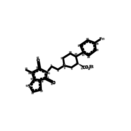 CCOC(=O)[C@@H]1CN(CCn2c(=O)c3ccsc3n(C)c2=O)CCC1c1ccc(F)cc1